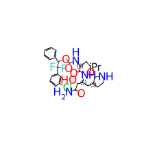 CC(C)C[C@H](NC(=O)OC(c1ccccc1)C(F)(F)c1cccc(Cl)c1)C(=O)N[C@@H](C[C@@H]1CCNC1=O)C(O)C(N)=O